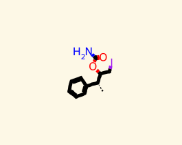 C[C@H](c1ccccc1)C(CI)OC(N)=O